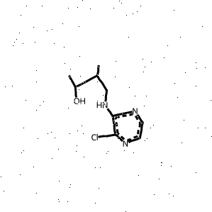 CC(O)C(C)CNc1nccnc1Cl